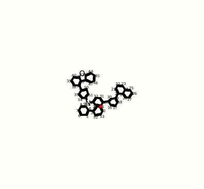 c1ccc(-c2ccccc2N(c2ccc(-c3cccc(-c4cccc5ccccc45)c3)cc2)c2ccc(-c3cccc4oc5ccccc5c34)cc2)cc1